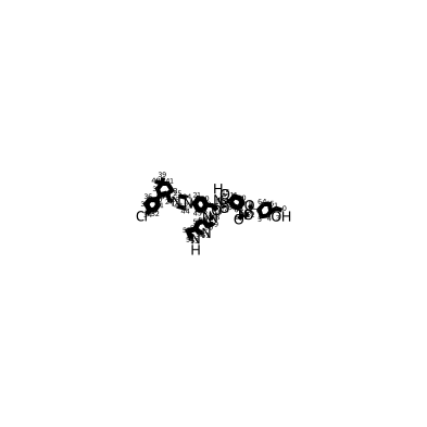 CC[C@]1(O)CC[C@H](COc2ccc(S(=O)(=O)NC(=O)c3ccc(N4CCN(CC5=C(c6ccc(Cl)cc6)CC(C)(C)CC5)CC4)cc3-n3ncc4nc5[nH]ccc5cc43)cc2[N+](=O)[O-])CC1